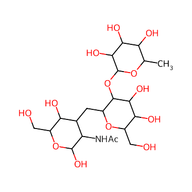 CC(=O)NC1C(O)OC(CO)C(O)C1CC1OC(CO)C(O)C(O)C1OC1OC(C)C(O)C(O)C1O